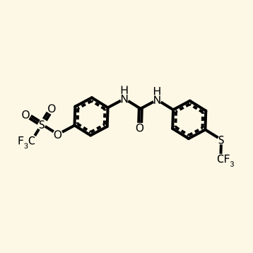 O=C(Nc1ccc(OS(=O)(=O)C(F)(F)F)cc1)Nc1ccc(SC(F)(F)F)cc1